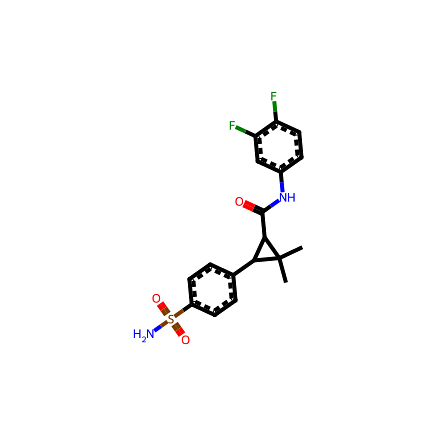 CC1(C)C(C(=O)Nc2ccc(F)c(F)c2)C1c1ccc(S(N)(=O)=O)cc1